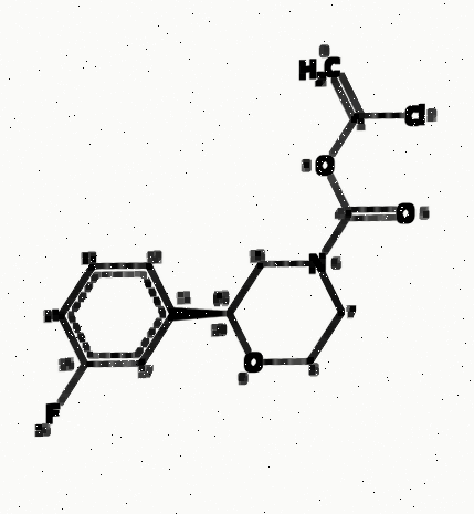 C=C(Cl)OC(=O)N1CCO[C@@H](c2cccc(F)c2)C1